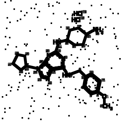 COc1ccc(CNc2nc(NC3CCC(N)CC3)nc3c2ncn3C2CCCC2)cc1.Cl.Cl